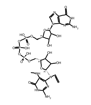 C=CN(c1nc(N)[nH]c(=O)c1NC)[C@@H]1O[C@H](COP(=O)(O)OP(=O)(O)OP(=O)(O)OC[C@H]2O[C@@H](n3cnc4c(=O)[nH]c(N)nc43)C(O)C2O)C(O)C1O